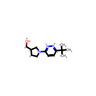 CC(C)(C)c1ccc(N2CCC(CO)C2)nn1